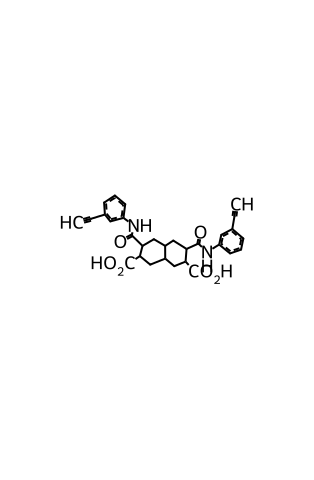 C#Cc1cccc(NC(=O)C2CC3CC(C(=O)Nc4cccc(C#C)c4)C(C(=O)O)CC3CC2C(=O)O)c1